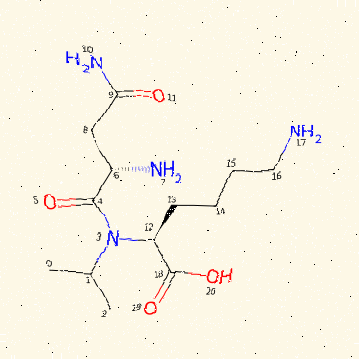 CC(C)N(C(=O)[C@@H](N)CC(N)=O)[C@@H](CCCCN)C(=O)O